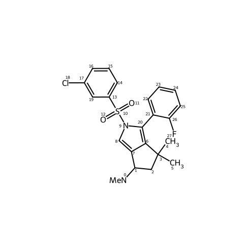 CNC1CC(C)(C)c2c1cn(S(=O)(=O)c1cccc(Cl)c1)c2-c1ccccc1F